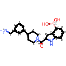 NCc1cccc(C2CCN(C(=O)C3Cc4c(cccc4B(O)O)N3)CC2)c1